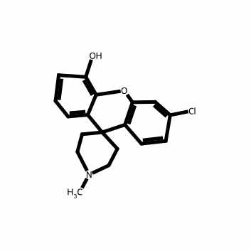 CN1CCC2(CC1)c1ccc(Cl)cc1Oc1c(O)cccc12